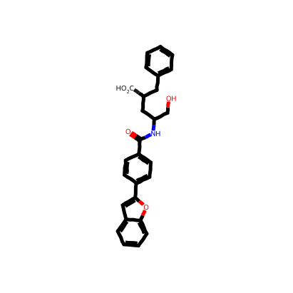 O=C(NC(CO)CC(Cc1ccccc1)C(=O)O)c1ccc(-c2cc3ccccc3o2)cc1